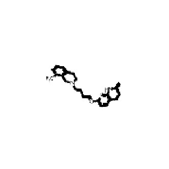 C=C1CCc2ccc(OCCCCN3CCc4cccc(C(F)(F)F)c4C3)nc2N1